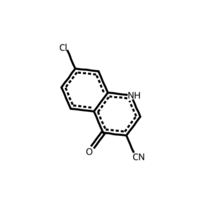 N#Cc1c[nH]c2cc(Cl)ccc2c1=O